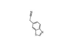 N#CCc1ccc2ncsc2c1